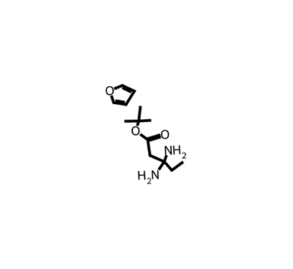 CCC(N)(N)CC(=O)OC(C)(C)C.c1ccoc1